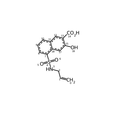 C=CCNS(=O)(=O)c1cccc2cc(C(=O)O)c(O)cc12